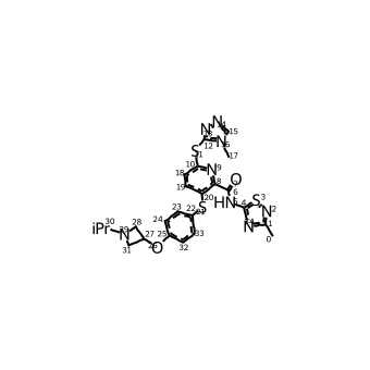 Cc1nsc(NC(=O)c2nc(Sc3nncn3C)ccc2Sc2ccc(OC3CN(C(C)C)C3)cc2)n1